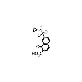 O=C(O)n1ccc2ccc(S(=O)(=O)NC3CC3)cc2c1=O